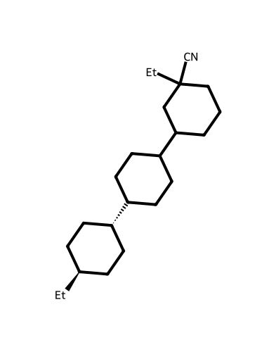 CCC1(C#N)CCCC(C2CCC([C@H]3CC[C@H](CC)CC3)CC2)C1